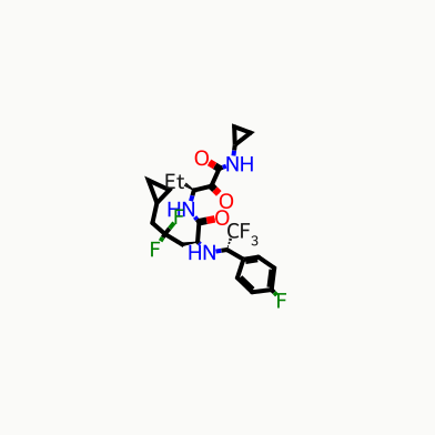 CC[C@H](NC(=O)[C@H](CC(F)(F)CC1CC1)N[C@@H](c1ccc(F)cc1)C(F)(F)F)C(=O)C(=O)NC1CC1